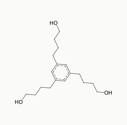 OCCCCc1cc(CCCCO)cc(CCCCO)c1